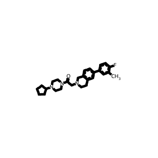 Cc1cc(-c2ccc3c(c2)CCN(CC(=O)N2CCN(C4CCCC4)CC2)C3)ccc1F